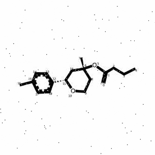 C=C(CCC)O[C@]1(C)CCO[C@H](c2ccc(C)cc2)C1